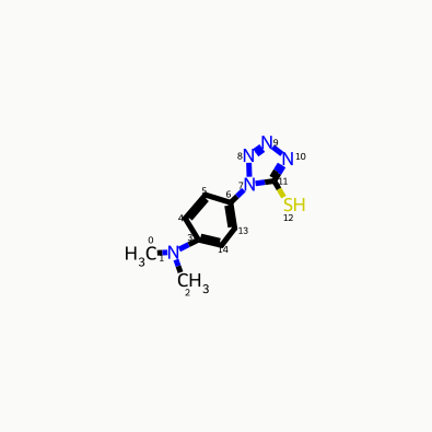 CN(C)c1ccc(-n2nnnc2S)cc1